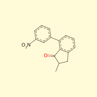 CC1Cc2cccc(-c3cccc([N+](=O)[O-])c3)c2C1=O